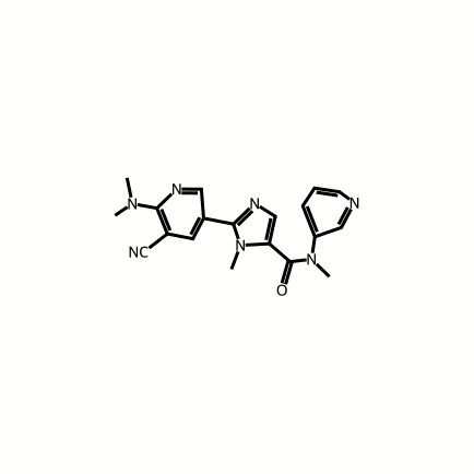 CN(C)c1ncc(-c2ncc(C(=O)N(C)c3cccnc3)n2C)cc1C#N